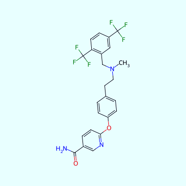 CN(CCc1ccc(Oc2ccc(C(N)=O)cn2)cc1)Cc1cc(C(F)(F)F)ccc1C(F)(F)F